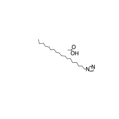 CC(=O)O.CCCCCCCCCCCCCCCCCCn1ccnc1